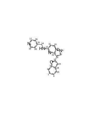 c1ccc2oc(-c3cnn4ccc(NCc5ccncc5)nc34)cc2c1